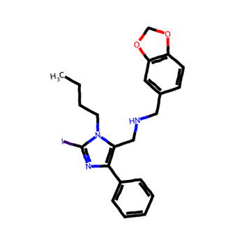 CCCCn1c(I)nc(-c2ccccc2)c1CNCc1ccc2c(c1)OCO2